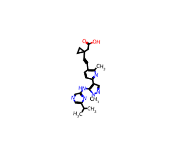 Cc1nc(-c2cnn(C)c2Nc2cncc(C(C)C)n2)ccc1C#CC1(CC(=O)O)CC1